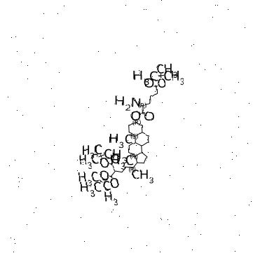 C[C@H](CCC(C(=O)OC(C)(C)C)C(=O)OC(C)(C)C)C1CCC2C3CCC4C[C@H](OC(=O)[C@H](N)CCCC(=O)OC(C)(C)C)CC[C@]4(C)C3CC[C@@]21C